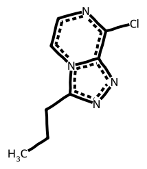 CCCc1nnc2c(Cl)nccn12